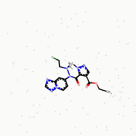 CCOC(=O)c1cnn(C)c1C(=O)N(c1ccn2ncnc2c1)N(C)CCF